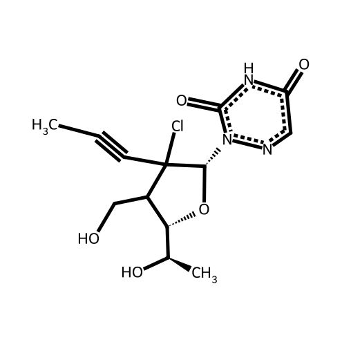 CC#CC1(Cl)C(CO)[C@@H]([C@@H](C)O)O[C@H]1n1ncc(=O)[nH]c1=O